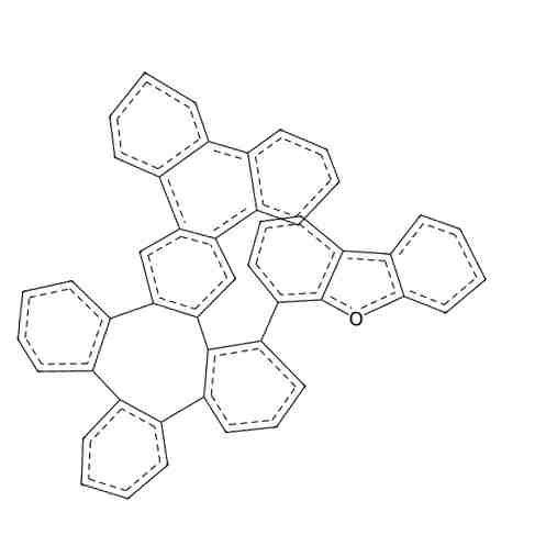 c1ccc2c(c1)-c1ccccc1-c1cccc(-c3cccc4c3oc3ccccc34)c1-c1cc3c4ccccc4c4ccccc4c3cc1-2